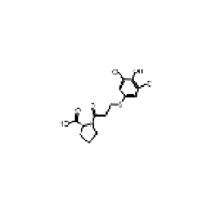 O=C(O)[C@@H]1CCCN1C(=O)CCSc1cc(Cl)c(O)c(Cl)c1